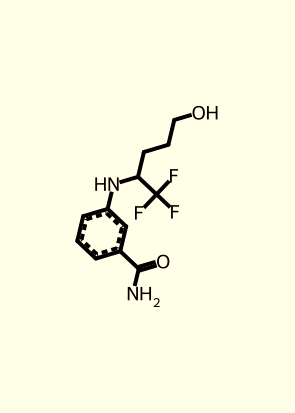 NC(=O)c1cccc(NC(CCCO)C(F)(F)F)c1